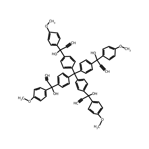 C#CC(O)(c1ccc(OC)cc1)c1ccc(C(c2ccc(C(O)(C#C)c3ccc(OC)cc3)cc2)(c2ccc(C(O)(C#C)c3ccc(OC)cc3)cc2)c2ccc(C(O)(C#C)c3ccc(OC)cc3)cc2)cc1